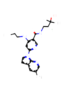 CC(C)(O)[C@H](F)CNC(=O)c1cnc(-n2ccc3cc(C#N)cnc32)cc1NCCC(F)(F)F